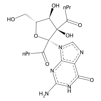 CCCC(=O)[C@@]1(O)[C@H](O)[C@@H](CO)O[C@@]1(C(=O)CCC)n1cnc2c(=O)[nH]c(N)nc21